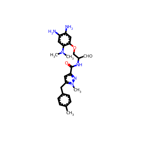 Cc1ccc(Cc2cc(C(=O)NC(C=O)COc3cc(N)c(N)cc3N(C)C)nn2C)cc1